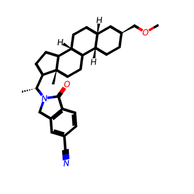 COC[C@H]1CC[C@@H]2C3CC[C@@]4(C)C(CCC4[C@@H](C)N4Cc5cc(C#N)ccc5C4=O)[C@@H]3CC[C@@H]2C1